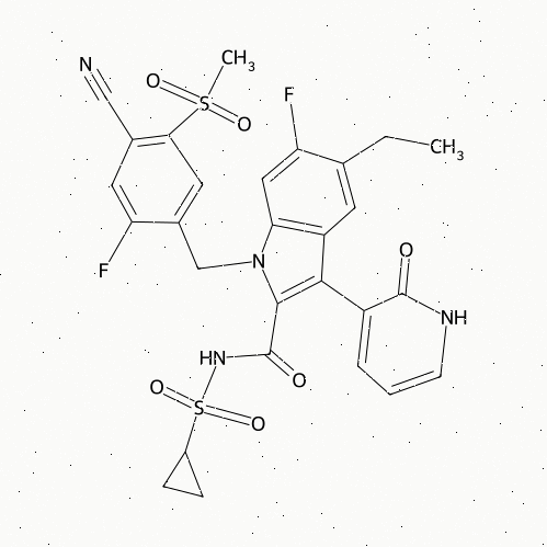 CCc1cc2c(-c3ccc[nH]c3=O)c(C(=O)NS(=O)(=O)C3CC3)n(Cc3cc(S(C)(=O)=O)c(C#N)cc3F)c2cc1F